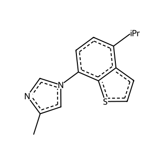 Cc1cn(-c2ccc(C(C)C)c3ccsc23)cn1